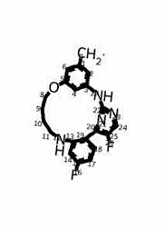 [CH2]c1cc2cc(c1)OCCCCNc1cc(F)ccc1-c1nc(ncc1F)N2